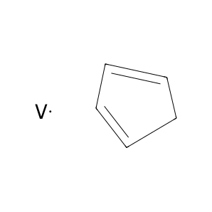 C1=CCC=C1.[V]